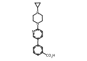 O=C(O)c1cccc(-c2ccc(N3CCN(C4CC4)CC3)nc2)c1